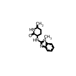 C=C1CCC(Nc2nc3ccccc3n2C)C(=O)N1